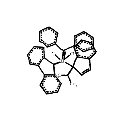 CC(C)[C]1([Zr]([Cl])([Cl])(=[C](c2ccccc2)c2ccccc2)[CH]2c3ccccc3-c3ccccc32)C=Cc2ccccc21